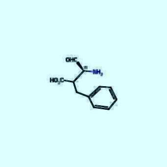 N[C@H](C=O)C(Cc1ccccc1)C(=O)O